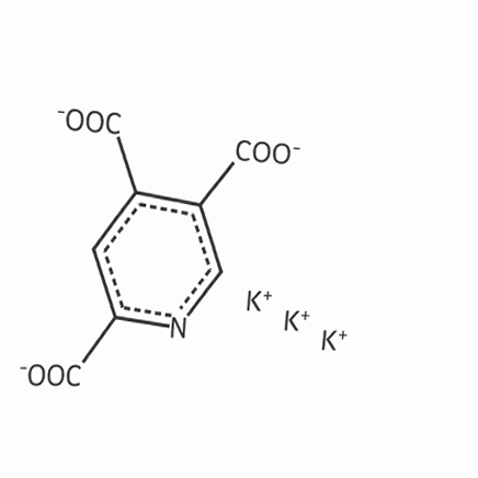 O=C([O-])c1cc(C(=O)[O-])c(C(=O)[O-])cn1.[K+].[K+].[K+]